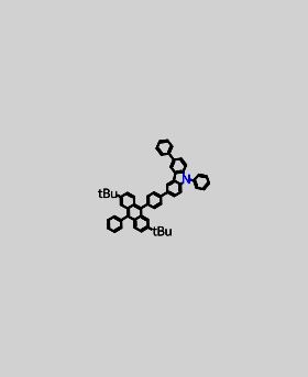 CC(C)(C)c1ccc2c(-c3ccc(-c4ccc5c(c4)c4cc(-c6ccccc6)ccc4n5-c4ccccc4)cc3)c3cc(C(C)(C)C)ccc3c(-c3ccccc3)c2c1